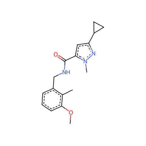 COc1cccc(CNC(=O)c2cc(C3CC3)nn2C)c1C